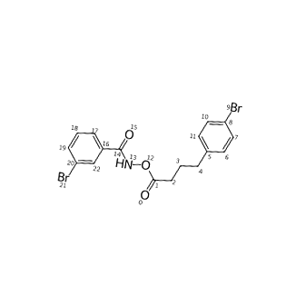 O=C(CCCc1ccc(Br)cc1)ONC(=O)c1cccc(Br)c1